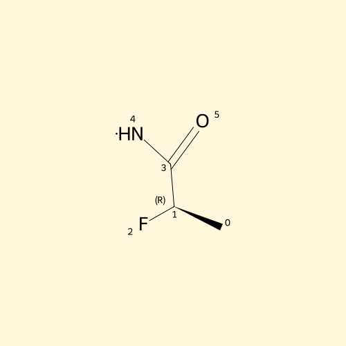 C[C@@H](F)C([NH])=O